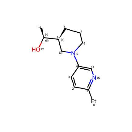 CCc1ccc(N2CCC[C@H]([C@H](C)O)C2)cn1